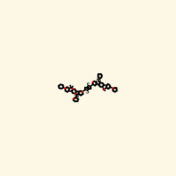 CC1(C)c2cc(-c3ccccc3)ccc2-c2cc3c(cc21)c1cc(-c2cc4sc(-c5ccc6c(c5)c5cc7c(cc5n6-c5ccccc5)-c5ccc(-c6ccccc6)cc5C7(C)C)cc4s2)ccc1n3-c1ccccc1